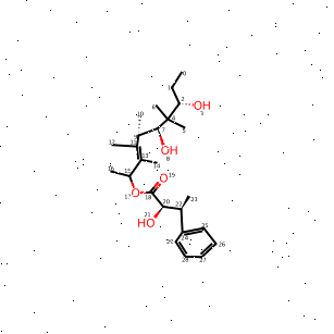 CC[C@H](O)C(C)(C)[C@@H](O)[C@@H](C)/C(C)=C(\C)C(C)OC(=O)[C@H](O)[C@@H](C)c1ccccc1